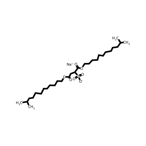 CC(C)CCCCCCCCCCOC(=O)CC(C(=O)OCCCCCCCCCCC(C)C)S(=O)(=O)[O-].[Na+]